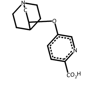 O=C(O)c1ccc(OC2CN3CCC2CC3)cn1